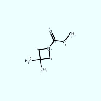 COC(=O)N1CC(C)(C)C1